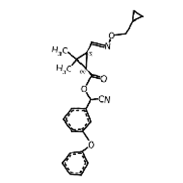 CC1(C)[C@H](C(=O)OC(C#N)c2cccc(Oc3ccccc3)c2)[C@@H]1C=NOCC1CC1